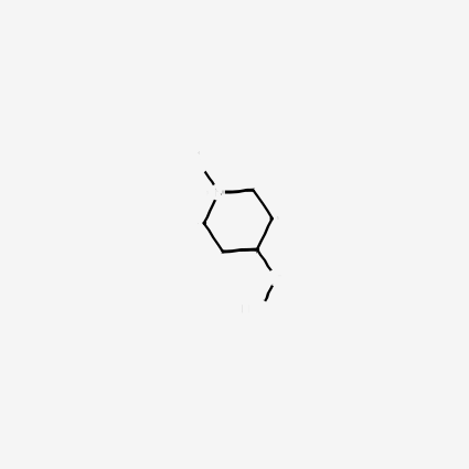 CPC1CCN(C)CC1